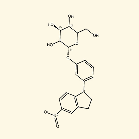 O=[N+]([O-])c1ccc2c(c1)CCN2c1cccc(O[C@H]2OC(CO)[C@@H](O)[C@H](O)C2O)c1